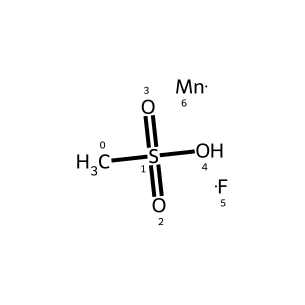 CS(=O)(=O)O.[F].[Mn]